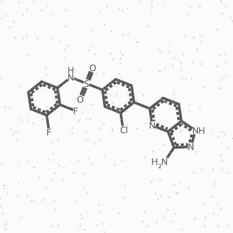 Nc1n[nH]c2ccc(-c3ccc(S(=O)(=O)Nc4cccc(F)c4F)cc3Cl)nc12